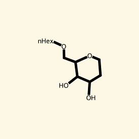 CCCCCCOCC1OCCC(O)C1O